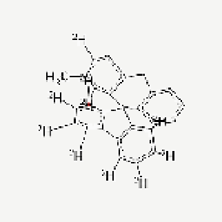 [2H]c1cc2c(c([2H])c1C)C1(c3ccccc3C2)c2c([2H])c([2H])c([2H])c([2H])c2-c2c([2H])c([2H])c([2H])c([2H])c21